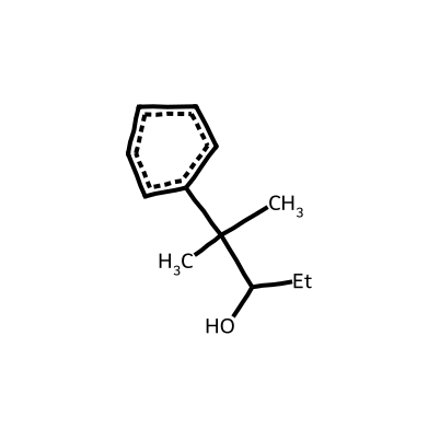 CCC(O)C(C)(C)c1ccccc1